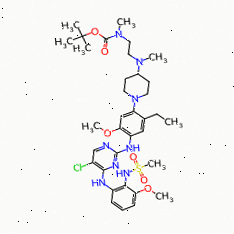 CCc1cc(Nc2ncc(Cl)c(Nc3cccc(OC)c3NS(C)(=O)=O)n2)c(OC)cc1N1CCC(N(C)CCN(C)C(=O)OC(C)(C)C)CC1